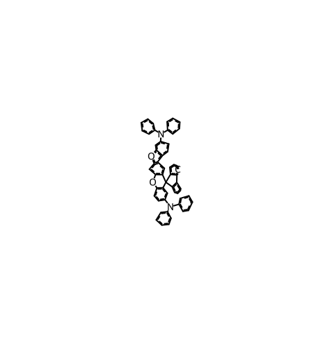 c1ccc(N(c2ccccc2)c2ccc3c(c2)C2(c4cc5c(cc4O3)oc3cc(N(c4ccccc4)c4ccccc4)ccc35)c3ccccc3-c3ccccc32)cc1